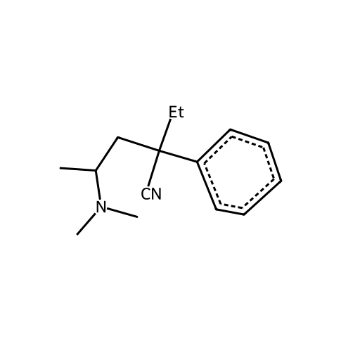 CCC(C#N)(CC(C)N(C)C)c1ccccc1